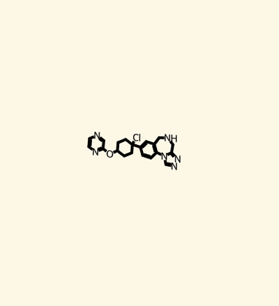 ClC1(c2ccc3c(c2)CNCc2nncn2-3)CCC(Oc2cnccn2)CC1